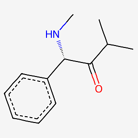 CN[C@H](C(=O)C(C)C)c1ccccc1